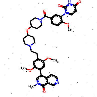 COc1cc(-c2cn(C)c(=O)c3cnccc23)c(OC)cc1CCN1CCC(OC2CCN(C(=O)c3ccc(OC)c(-n4ccc(=O)[nH]c4=O)c3)CC2)CC1